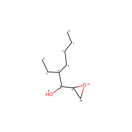 CCCCC(CC)C(O)C1CO1